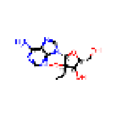 CC[C@@]1(O)[C@H](O)[C@@H](CO)O[C@H]1n1cnc2c(N)ncnc21